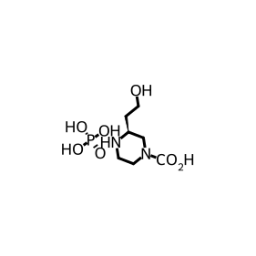 O=C(O)N1CCN[C@@H](CCO)C1.O=P(O)(O)O